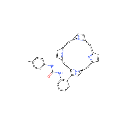 Cc1ccc(NC(=O)Nc2ccccc2-c2cc3cc4nc(cc5ccc(cc6nc(cc2[nH]3)C=C6)[nH]5)C=C4)cc1